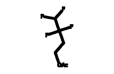 CC(=O)OCCC(F)(F)C(F)F